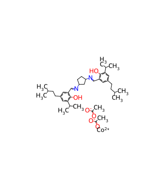 CC(=O)[O-].CC(=O)[O-].CC(C)CCc1cc(C=NC2CCC(N=Cc3cc(CCC(C)C)cc(C(C)C)c3O)C2)c(O)c(C(C)C)c1.[Co+2]